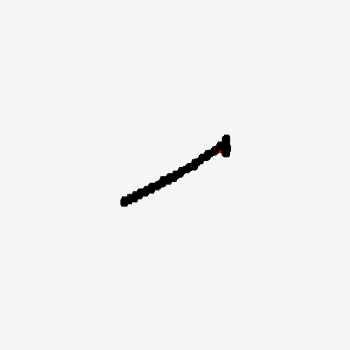 C=CC(CCC)CCCCCCCCCCCCCCCCCCCCCCCCCCCCCCCCCC